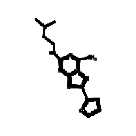 CN(C)CCNc1nc(N)n2nc(-c3ccco3)nc2n1